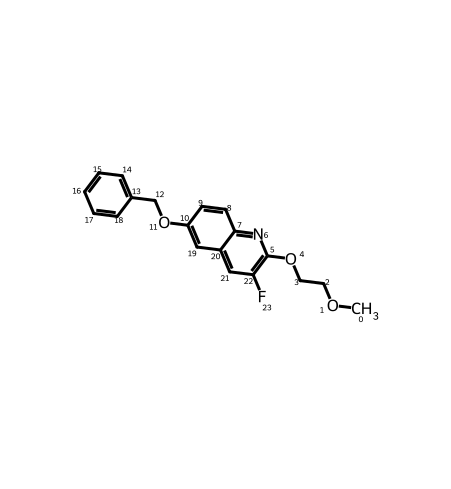 COCCOc1nc2ccc(OCc3ccccc3)cc2cc1F